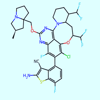 C[C@H]1CN2CCCC2(COc2nc3c4c(c(Cl)c(-c5ccc(F)c6sc(N)c(C#N)c56)c(F)c4n2)OC(C(F)F)CC2C(C(F)F)CCCN32)C1